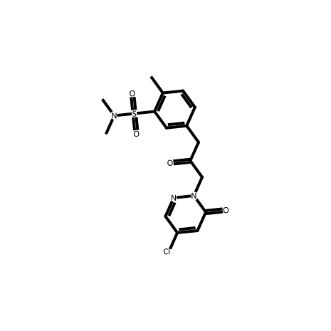 Cc1ccc(CC(=O)Cn2ncc(Cl)cc2=O)cc1S(=O)(=O)N(C)C